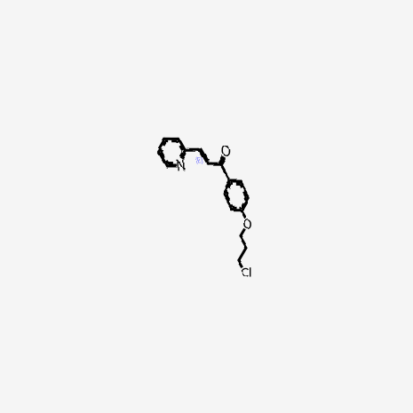 O=C(/C=C/c1ccccn1)c1ccc(OCCCCl)cc1